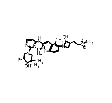 C=N/C(=C\c1c(F)ccc(N2C[C@H](CCS(C)(=O)=O)[C@H]2C)c1C)Nc1ccnc(N2C[C@H](F)[C@H](O)C(C)(C)C2)n1